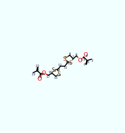 C=C(C)C(=O)OCC1CSC(CCC2SCC(COC(=O)C(=C)C)S2)S1